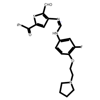 CC(C)C(=O)c1cc(/N=C\Nc2ccc(OCCN3CCCC3)c(F)c2)c(C=O)s1